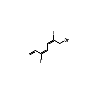 C=C/C(F)=C\C=C(\I)CBr